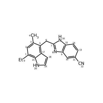 CCc1cc(C)c(Cc2nc3cc(C#N)ccc3[nH]2)c2cc[nH]c12